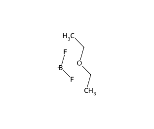 CCOCC.F[B]F